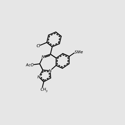 CSc1ccc2c(c1)C(c1ccccc1Cl)=NC(OC(C)=O)c1nc(C)cn1-2